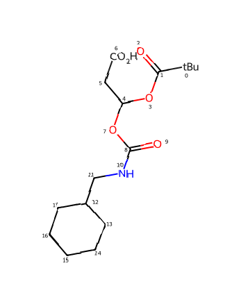 CC(C)(C)C(=O)OC(CC(=O)O)OC(=O)NCC1CCCCC1